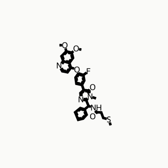 COc1cc2nccc(Oc3ccc(-c4cnc(C(NC(=O)CCSC)c5ccccc5)n(C)c4=O)cc3F)c2cc1OC